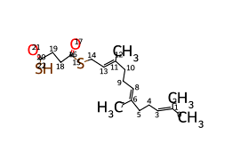 CC(C)=CCCC(C)=CCCC(C)=CCSC(=O)CCC(=O)S